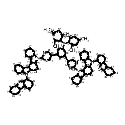 Cc1cc(C)c(B(c2cc(-c3cnc(-n4c5ccccc5c5c6c7ccccc7n(-c7cccc8c7sc7ccccc78)c6ccc54)nc3)cc(-c3cnc(-n4c5ccccc5c5ccc6c(c7ccccc7n6-c6cccc7c6sc6ccccc67)c54)nc3)c2)c2c(C)cc(C)cc2C)c(C)c1